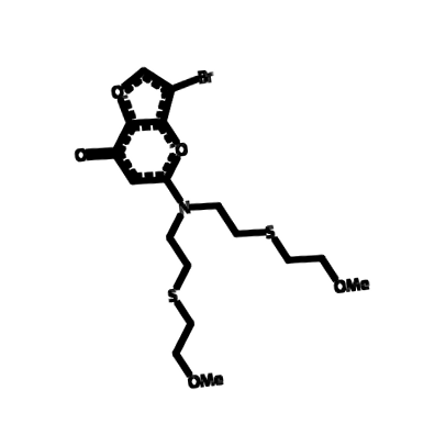 COCCSCCN(CCSCCOC)c1cc(=O)c2occ(Br)c2o1